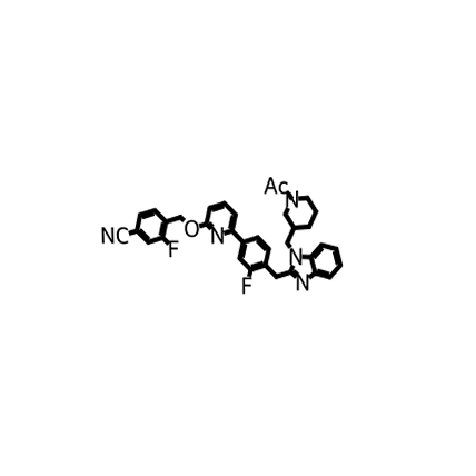 CC(=O)N1CCCC(Cn2c(Cc3ccc(-c4cccc(OCc5ccc(C#N)cc5F)n4)cc3F)nc3ccccc32)C1